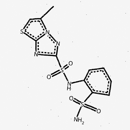 Cc1csc2nc(S(=O)(=O)Nc3ccccc3S(N)(=O)=O)nn12